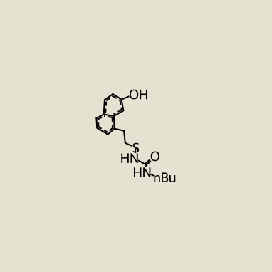 CCCCNC(=O)NSCCc1cccc2ccc(O)cc12